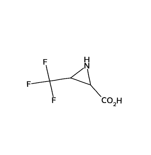 O=C(O)C1NC1C(F)(F)F